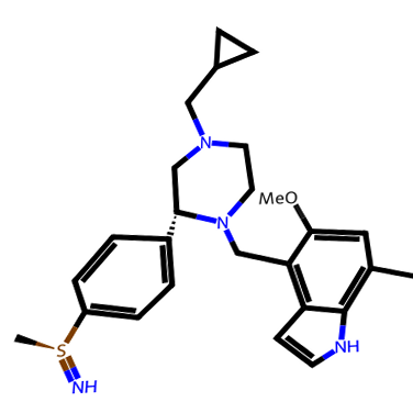 COc1cc(C)c2[nH]ccc2c1CN1CCN(CC2CC2)C[C@H]1c1ccc([S@](C)=N)cc1